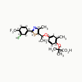 Cc1cc(OC(C)c2sc(-c3ccc(C(F)(F)F)c(F)c3)nc2C)ccc1OC(C)(C)C(=O)O